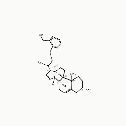 CC(CCc1ncccc1CO)[C@H]1CC[C@H]2[C@@H]3CC=C4C[C@@H](O)CC[C@]4(C)[C@H]3CC[C@]12C